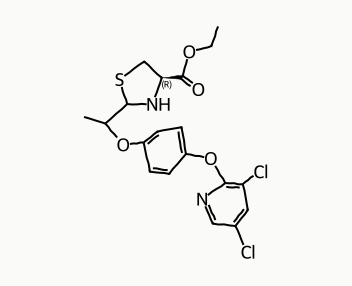 CCOC(=O)[C@@H]1CSC(C(C)Oc2ccc(Oc3ncc(Cl)cc3Cl)cc2)N1